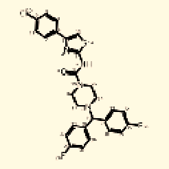 O=C(Nc1nc(-c2ccc(Cl)cc2)cs1)N1CCN(C(c2ccc(F)cc2)c2ccc(F)cc2)CC1